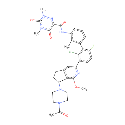 COc1nc(-c2ccc(F)c(-c3cccc(NC(=O)c4nn(C)c(=O)n(C)c4=O)c3C)c2Cl)cc2c1C(N1CCN(C(C)=O)CC1)CC2